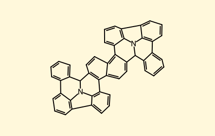 c1ccc2c(c1)-c1cccc3c4cccc5c4n(c13)C2c1ccc2c3c(ccc2c1-5)C1c2ccccc2-c2cccc4c5cccc-3c5n1c24